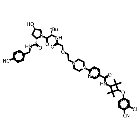 CC1(C)C(NC(=O)c2ccc(N3CCN(CCOCC(=O)N[C@H](C(=O)N4C[C@H](O)C[C@H]4C(=O)NCc4ccc(C#N)cc4)C(C)(C)C)CC3)nc2)C(C)(C)C1Oc1ccc(C#N)c(Cl)c1